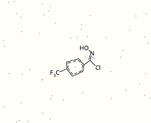 O/N=C(/Cl)c1ccc(C(F)(F)F)cc1